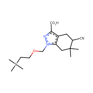 CC1(C)Cc2c(c(C(=O)O)nn2COCC[Si](C)(C)C)CC1C#N